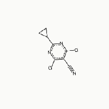 N#Cc1c(Cl)nc(C2CC2)nc1Cl